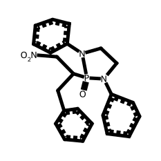 O=[N+]([O-])CC(Cc1ccccc1)P1(=O)N(c2ccccc2)CCN1c1ccccc1